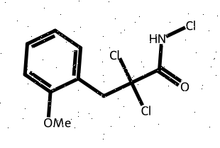 COc1ccccc1CC(Cl)(Cl)C(=O)NCl